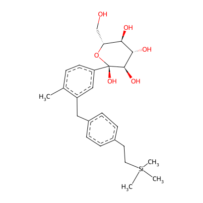 Cc1ccc([C@]2(O)O[C@H](CO)[C@@H](O)[C@H](O)[C@H]2O)cc1Cc1ccc(CC[Si](C)(C)C)cc1